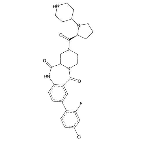 O=C1Nc2ccc(-c3ccc(Cl)cc3F)cc2C(=O)N2CCN(C(=O)[C@@H]3CCCN3C3CCNCC3)CC12